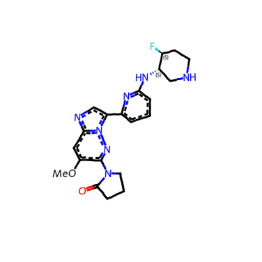 COc1cc2ncc(-c3cccc(N[C@H]4CNCC[C@@H]4F)n3)n2nc1N1CCCC1=O